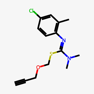 C#CCOCSC(=Nc1ccc(Cl)cc1C)N(C)C